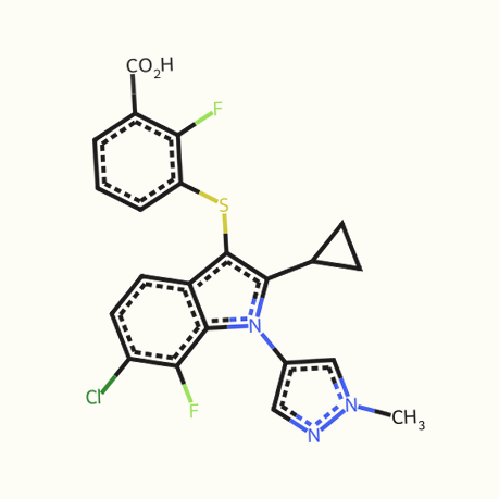 Cn1cc(-n2c(C3CC3)c(Sc3cccc(C(=O)O)c3F)c3ccc(Cl)c(F)c32)cn1